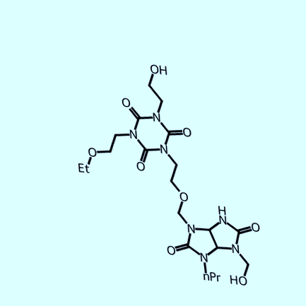 CCCN1C(=O)N(COCCn2c(=O)n(CCO)c(=O)n(CCOCC)c2=O)C2NC(=O)N(CO)C21